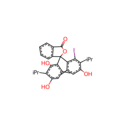 Cc1cc(O)c(C(C)C)c(O)c1C1(c2c(C)cc(O)c(C(C)C)c2I)OC(=O)c2ccccc21